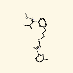 CO/N=C(/c1cccc(CCCO/N=C(\C)c2cccc(C)n2)n1)C(C)C